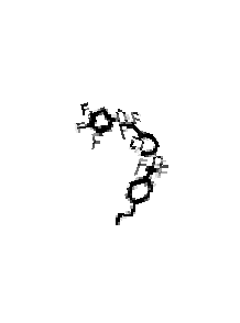 CCCC1CC=C(C(F)(F)OC2CCC(C(F)(F)Oc3cc(F)c(F)c(F)c3)OC2)CC1